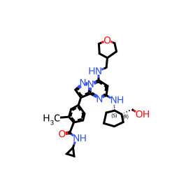 Cc1cc(-c2cnn3c(NCC4CCOCC4)cc(N[C@H]4CCCC[C@H]4CO)nc23)ccc1C(=O)NC1CC1